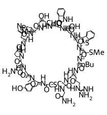 CCCC[C@H]1C(=O)N[C@@H](CCCNC(=N)N)C(=O)NC(C(=O)NCC(N)=O)CSCC(=O)N[C@@H](Cc2ccc(O)cc2)C(=O)N(C)[C@@H](C)C(=O)N[C@@H](CC(N)=O)C(=O)N2CCC[C@H]2C(=O)N[C@@H](Cc2cnc[nH]2)C(=O)N[C@@H](CC(C)C)C(=O)N2C[C@H](O)CC2(C=O)N[C@@H](Cc2c[nH]c3ccccc23)C(=O)N[C@@H](CO)C(=O)N[C@@H](Cc2csc3ccccc23)C(=O)N(C)[C@@H](CCSC)C(=O)N1C